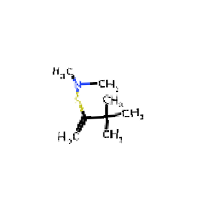 C=C(SN(C)C)C(C)(C)C